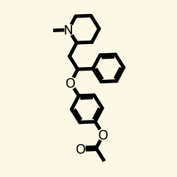 CC(=O)Oc1ccc(OC(CC2CCCCN2C)c2ccccc2)cc1